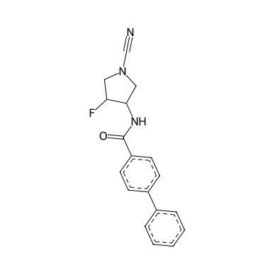 N#CN1CC(F)C(NC(=O)c2ccc(-c3ccccc3)cc2)C1